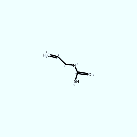 C=CC[N]C(=O)S